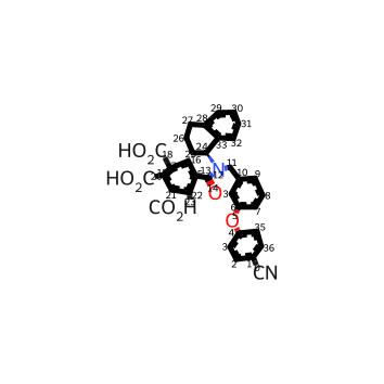 N#Cc1ccc(Oc2cccc(CN(C(=O)c3cc(C(=O)O)c(C(=O)O)cc3C(=O)O)[C@H]3CCCc4ccccc43)c2)cc1